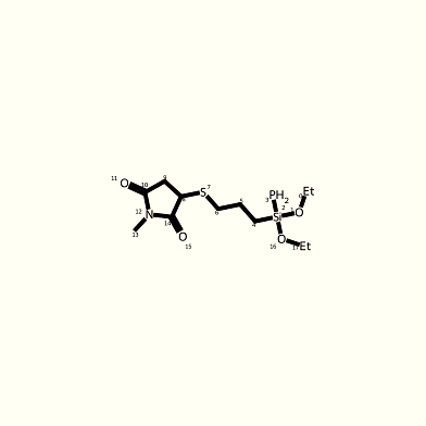 CCO[Si](P)(CCCSC1CC(=O)N(C)C1=O)OCC